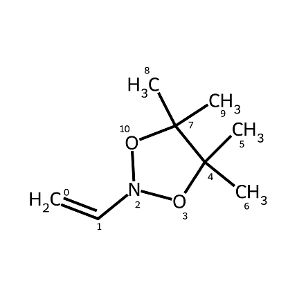 C=CN1OC(C)(C)C(C)(C)O1